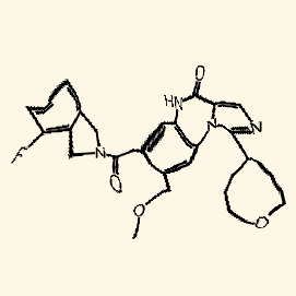 COCc1cc2c(cc1C(=O)N1Cc3cccc(F)c3C1)[nH]c(=O)c1cnc(C3CCOCC3)n12